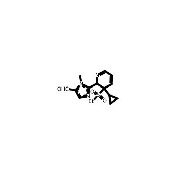 CCS(=O)(=O)C1(C2CC2)C=CC=NC1c1ncc(C=O)n1C